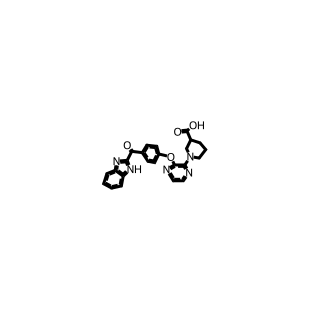 O=C(c1ccc(Oc2nccnc2N2CCCC(C(=O)O)C2)cc1)c1nc2ccccc2[nH]1